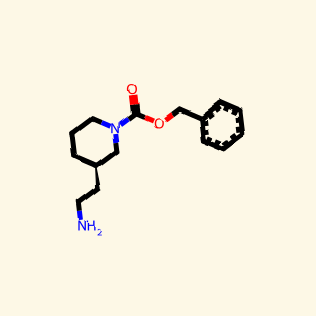 NCC[C@H]1CCCN(C(=O)OCc2ccccc2)C1